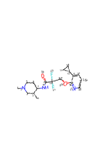 CC1CN(C)CCC1NC(=O)C(F)(F)COc1ncccc1C1CC1